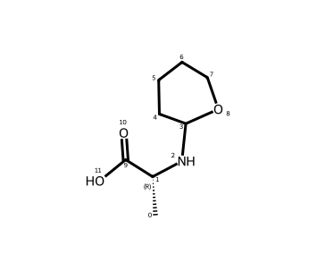 C[C@@H](NC1CCCCO1)C(=O)O